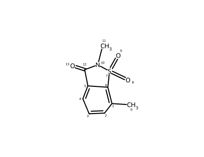 Cc1cccc2c1S(=O)(=O)N(C)C2=O